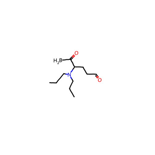 BC(=O)C(CCC=O)N(CCC)CCC